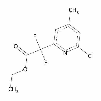 CCOC(=O)C(F)(F)c1cc(C)cc(Cl)n1